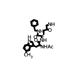 CC(=O)N[C@@H](Cc1c[nH]c2ccc(C)cc12)C(=O)N[C@@H](CCC(=O)C=N)C(=O)NCc1ccccc1